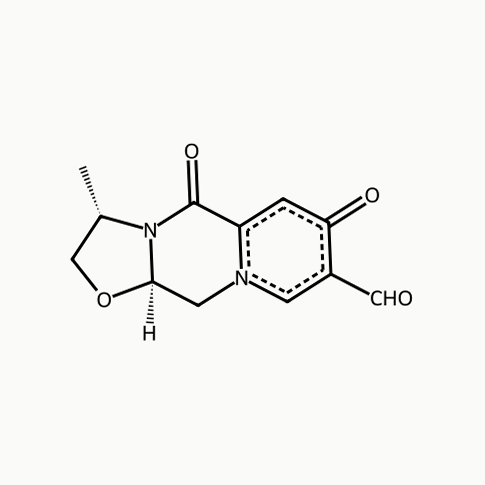 C[C@H]1CO[C@@H]2Cn3cc(C=O)c(=O)cc3C(=O)N12